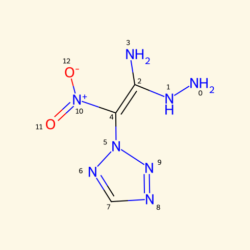 NNC(N)=C(n1ncnn1)[N+](=O)[O-]